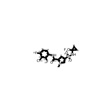 Cn1cc(S(=O)(=O)NC2(C(F)(F)F)CC2)cc1C(=O)Nc1ccc(F)c(Cl)c1F